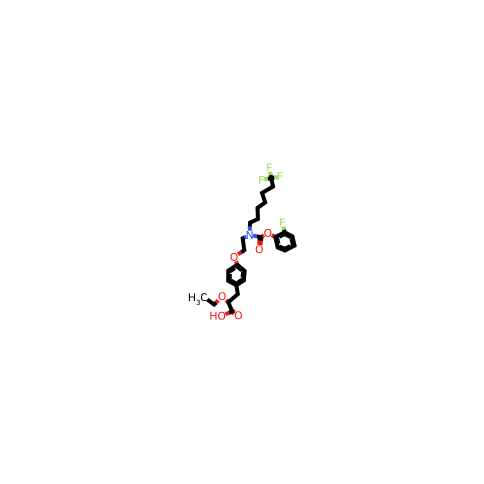 CCOC(Cc1ccc(OCCN(CCCCCCC(F)(F)F)C(=O)Oc2ccccc2F)cc1)C(=O)O